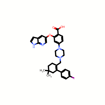 CC1(C)CCC(CN2CCN(c3ccc(C(=O)O)c(Oc4cnc5[nH]ccc5c4)c3)CC2)=C(c2ccc(I)cc2)C1